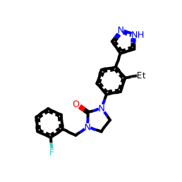 CCc1cc(N2CCN(Cc3ccccc3F)C2=O)ccc1-c1cn[nH]c1